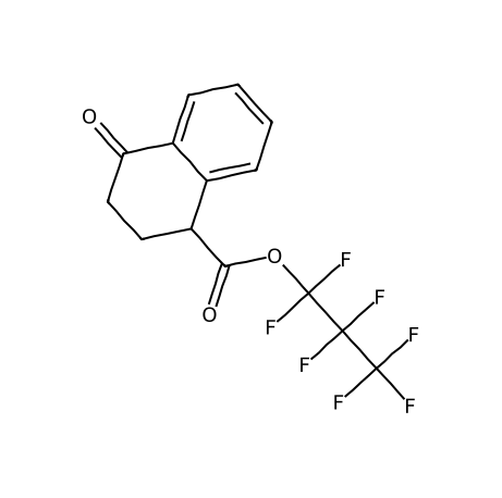 O=C1CCC(C(=O)OC(F)(F)C(F)(F)C(F)(F)F)c2ccccc21